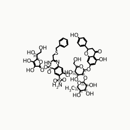 C[C@@H]1O[C@@H](O[C@H]2[C@H](Oc3cc(O)c4c(c3)OC(c3ccc(O)cc3)CC4=O)O[C@H](CO)[C@@H](O)[C@@H]2O)[C@H](O)[C@H](O)[C@H]1O.NS(=O)(=O)c1cc2c(cc1Cl)N=C(CSCc1ccccc1)NS2(=O)=O.O=C1O[C@H]([C@H](O)CO)C(O)=C1O